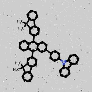 CC1(C)c2ccccc2-c2ccc(-c3c4ccccc4c(-c4ccc5c(c4)C(C)(C)c4ccccc4-5)c4cc(-c5ccc(-n6c7ccccc7c7ccccc76)cc5)ccc34)cc21